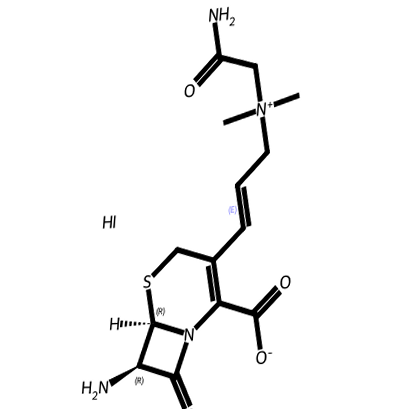 C[N+](C)(C/C=C/C1=C(C(=O)[O-])N2C(=O)[C@@H](N)[C@H]2SC1)CC(N)=O.I